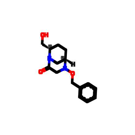 O=C1CN(OCc2ccccc2)[C@@H]2CC[C@@H](CO)N1C2